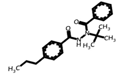 CCCc1ccc(C(=O)NN(C(=O)c2ccccc2)C(C)(C)C)cc1